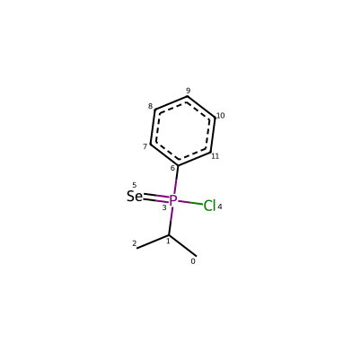 CC(C)P(Cl)(=[Se])c1ccccc1